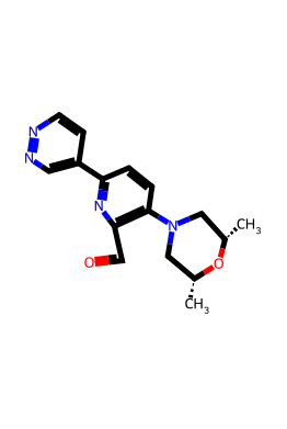 C[C@@H]1CN(c2ccc(-c3ccnnc3)nc2C=O)C[C@H](C)O1